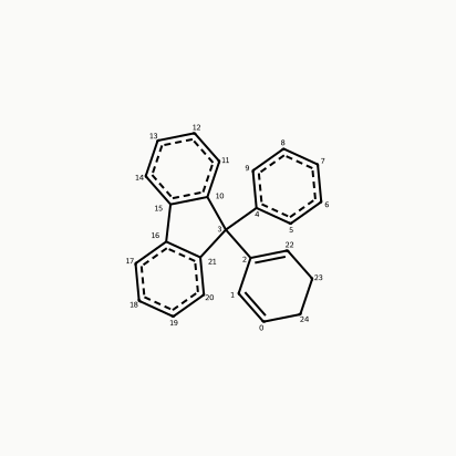 C1=CC(C2(c3ccccc3)c3ccccc3-c3ccccc32)=CCC1